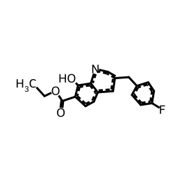 CCOC(=O)c1ccc2cc(Cc3ccc(F)cc3)cnc2c1O